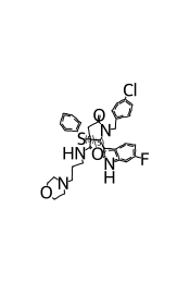 O=C1C[C@@](Sc2ccccc2)(C(=O)NCCCN2CCOCC2)[C@H](c2c[nH]c3cc(F)ccc23)N1Cc1ccc(Cl)cc1